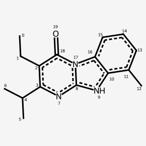 CCc1c(C(C)C)nc2[nH]c3c(C)cccc3n2c1=O